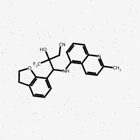 Cc1ccc2c(NC(c3cccc4c3OCC4)C(O)(CC#N)C(F)(F)F)cccc2n1